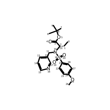 CC[C@@H](C(=O)OC(C)(C)C)N(Cc1cccnc1)S(=O)(=O)c1ccc(OC)cc1